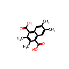 Cc1cc2c(C(=O)O)c(C)c(C)c(C(=O)O)c2cc1C